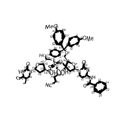 COc1ccc(C(OC[C@H]2O[C@@H](n3ccc(NC(=O)c4ccccc4)nc3=O)C[C@]2(O)OP(=S)(OCCC#N)OC(O)[C@H]2O[C@@H](n3cc(C)c(=O)[nH]c3=O)C[C@@H]2O)(c2ccccc2)c2ccc(OC)cc2)cc1